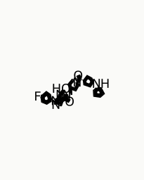 O=c1c2cnn(-c3ccc(F)cc3)c2ncn1CC1(O)CCN(C(=O)[C@H]2CC[C@H](Nc3ccccc3)CC2)CC1